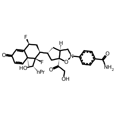 CCC[C@H](O)[C@@]1(F)[C@H]([C@@H]2C[C@H]3CN(c4ccc(C(N)=O)cc4)O[C@@]3(C(=O)CO)C2)C[C@H](F)C2=CC(=O)C=C[C@@]21C